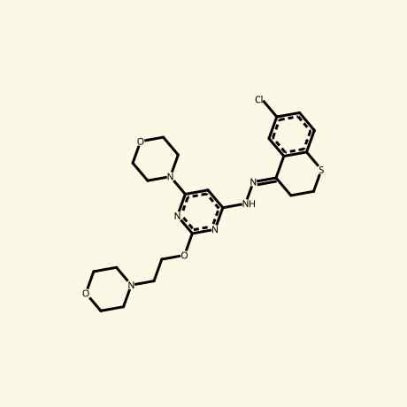 Clc1ccc2c(c1)C(=NNc1cc(N3CCOCC3)nc(OCCN3CCOCC3)n1)CCS2